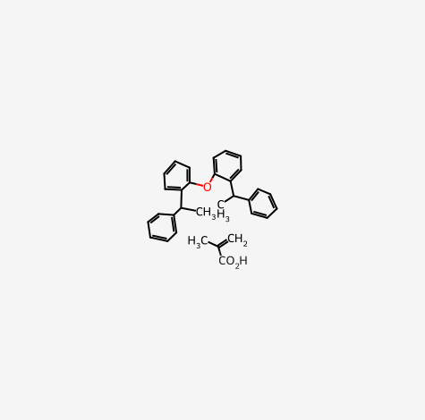 C=C(C)C(=O)O.CC(c1ccccc1)c1ccccc1Oc1ccccc1C(C)c1ccccc1